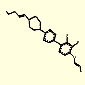 C/C=C/Oc1ccc(-c2ccc(C3CCC(/C=C/CCC)CC3)cc2)c(F)c1F